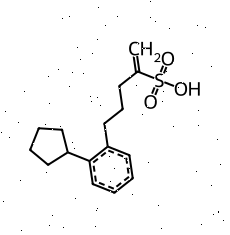 C=C(CCCc1ccccc1C1CCCC1)S(=O)(=O)O